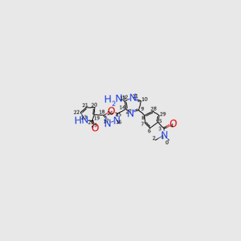 CN(C)C(=O)c1ccc(-c2cnc(N)c(-c3nnc(-c4ccc[nH]c4=O)o3)n2)cc1